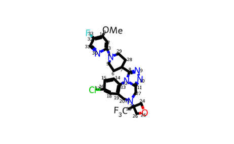 COc1cc(N2CCC(c3nnc4n3-c3ccc(Cl)cc3CN(C3(C(F)(F)F)COC3)C4)CC2)ncc1F